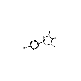 CC1CC(c2ccc(Br)cc2)=NN(C)C1=O